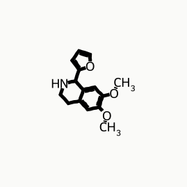 COc1cc2c(cc1OC)C(c1ccco1)NCC2